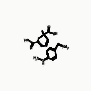 CC1(C(=O)O)C=CC=C(C(=O)O)C1.NCc1ccc(NN)cc1